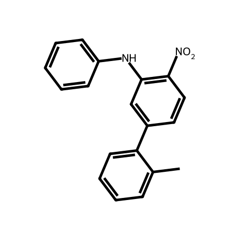 Cc1ccccc1-c1ccc([N+](=O)[O-])c(Nc2ccccc2)c1